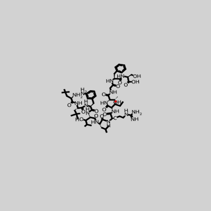 CC[C@H](C)[C@H](NC(=O)[C@@H](CCCNC(=N)N)NC(=O)[C@H](CC(C)C)NC(=O)[C@@H](NC(=O)[C@H](Cc1cccc(N)c1)NC(=O)[C@H](CC(C)(C)C)NC(=O)[C@H](N)CC(C)(C)C)C(O)C(C)C)C(=O)N[C@H](C(=O)NCC(=O)N[C@@H](Cc1ccccc1)C(=O)N[C@@H](CO)C(=O)O)[C@H](C)O